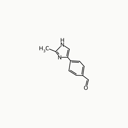 Cc1nc(-c2ccc(C=O)cc2)c[nH]1